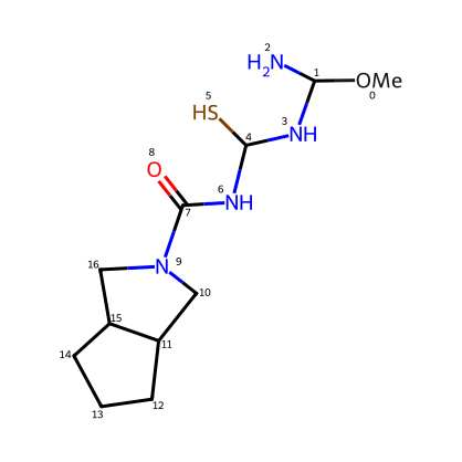 COC(N)NC(S)NC(=O)N1CC2CCCC2C1